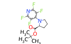 CC(C)(C)OC(=O)[C@@H]1CCCN1c1c(F)c(F)nc(F)c1F